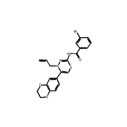 C=CCN1N=C(NC(=O)c2cccc(Br)c2)SC=C1c1ccc2c(c1)OCCO2